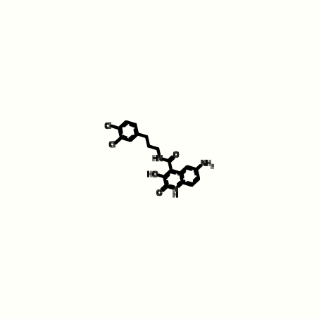 Nc1ccc2[nH]c(=O)c(O)c(C(=O)NCCCc3ccc(Cl)c(Cl)c3)c2c1